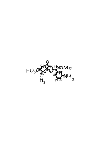 CON=C(C(=O)NC1C(=O)N2C=C(C(=O)O)C(C)S[C@H]12)c1cccc(N)n1